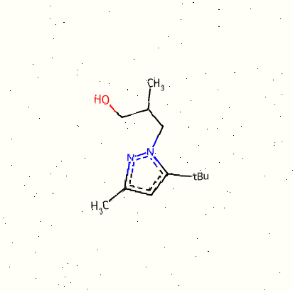 Cc1cc(C(C)(C)C)n(CC(C)CO)n1